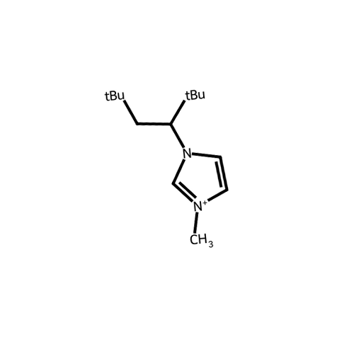 C[n+]1ccn(C(CC(C)(C)C)C(C)(C)C)c1